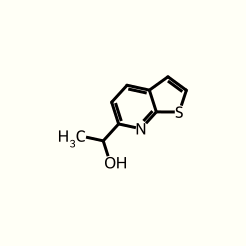 CC(O)c1ccc2ccsc2n1